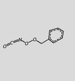 O=C=NOOCc1ccccc1